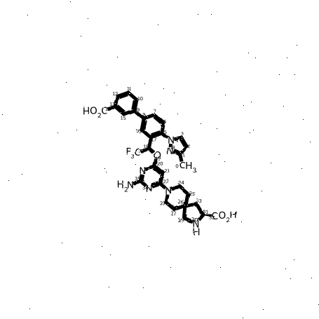 Cc1ccn(-c2ccc(-c3cccc(C(=O)O)c3)cc2C(Oc2cc(N3CCC4(CC3)CN[C@H](C(=O)O)C4)nc(N)n2)C(F)(F)F)n1